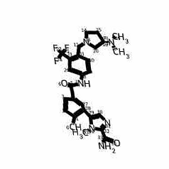 Cc1ccc(C(=O)Nc2ccc(CN3CC[C@@H](N(C)C)C3)c(C(F)(F)F)c2)cc1-c1cnc(C(N)=O)n1C